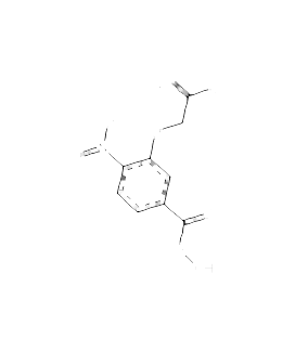 C=C(C)COc1cc(C(=O)OC)ccc1[N+](=O)[O-]